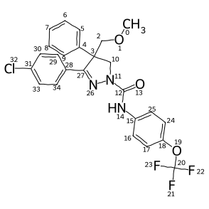 COCC1(c2ccccc2)CN(C(=O)Nc2ccc(OC(F)(F)F)cc2)N=C1c1ccc(Cl)cc1